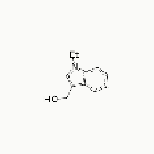 CCn1cc(CO)c2c[c]ccc21